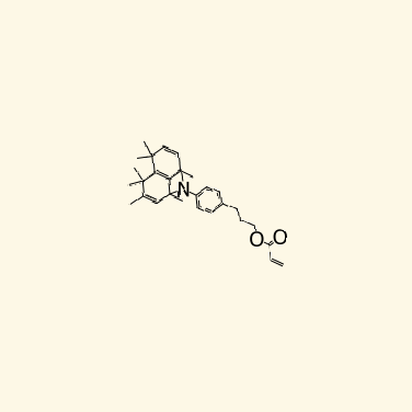 C=CC(=O)OCCCc1ccc(N2C3(C)C=CC(C)(C)C4=C3C2(C)C=C(C)C4(C)C)cc1